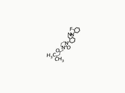 CC(C)CC(=O)CN1CCCN(c2cccc3c2cnn3-c2ccccc2F)C1=O